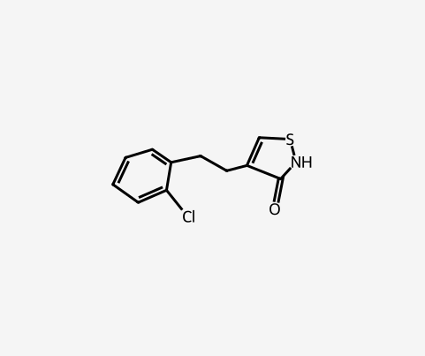 O=c1[nH]scc1CCc1ccccc1Cl